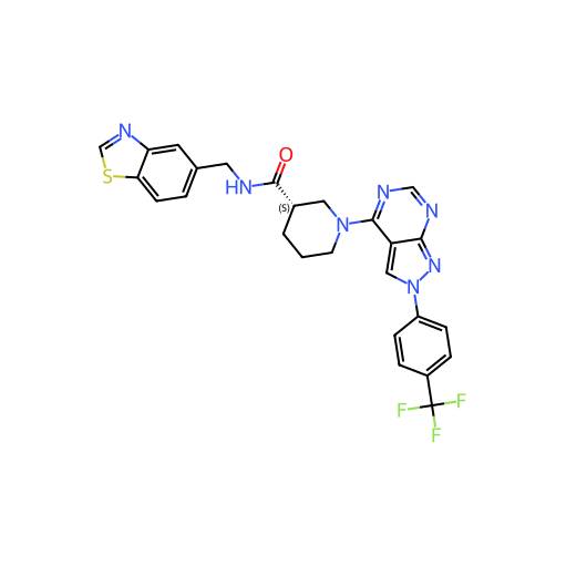 O=C(NCc1ccc2scnc2c1)[C@H]1CCCN(c2ncnc3nn(-c4ccc(C(F)(F)F)cc4)cc23)C1